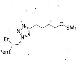 CCCC(C)C(CC)Cn1cc(CCCCOSC)nn1